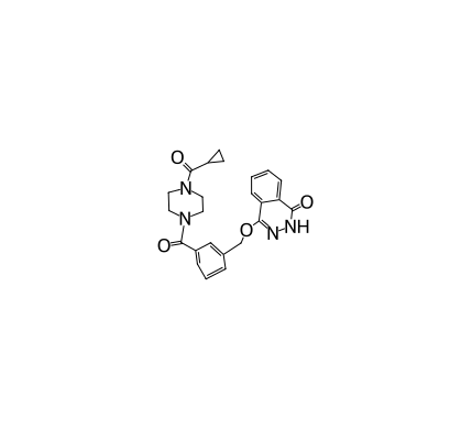 O=C(c1cccc(COc2n[nH]c(=O)c3ccccc23)c1)N1CCN(C(=O)C2CC2)CC1